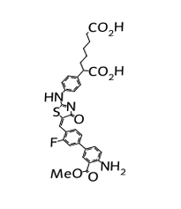 COC(=O)c1cc(-c2ccc(C=C3SC(Nc4ccc(C(CCCCCC(=O)O)C(=O)O)cc4)=NC3=O)c(F)c2)ccc1N